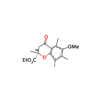 CCOC(=O)[C@]1(C)CC(=O)c2c(C)c(OC)c(C)c(C)c2O1